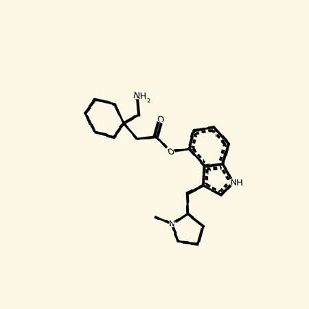 CN1CCCC1Cc1c[nH]c2cccc(OC(=O)CC3(CN)CCCCC3)c12